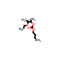 CCCCOC(=O)OC(C)C(C)OCC